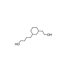 OCCCCC1CCCC(CCO)C1